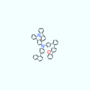 c1ccc(-c2ccc3c(c2)oc2ccccc23)c(-c2ccc(N(c3ccc(-c4ccccc4-n4c5ccccc5c5ccccc54)cc3)c3ccc(-c4cccc5ccccc45)cc3)cc2)c1